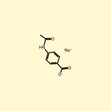 CC(=O)Nc1ccc(C(=O)[O-])cc1.[Na+]